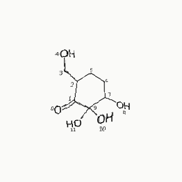 O=C1C(CO)CCC(O)C1(O)O